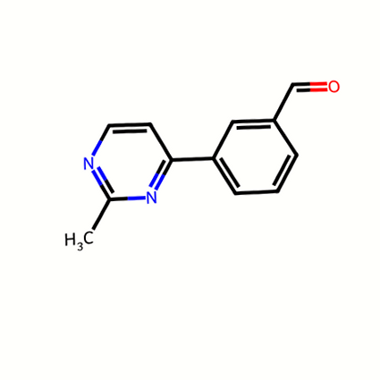 Cc1nccc(-c2cccc(C=O)c2)n1